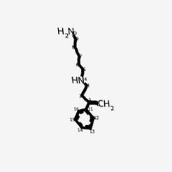 C=C(CCNCCCCCN)c1ccccc1